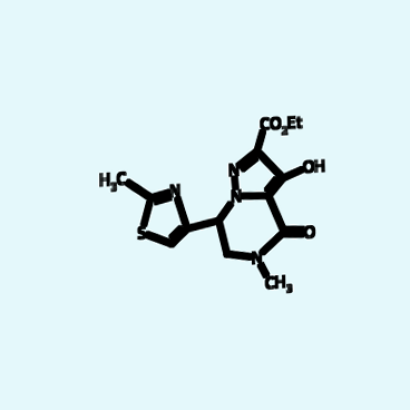 CCOC(=O)c1nn2c(c1O)C(=O)N(C)CC2c1csc(C)n1